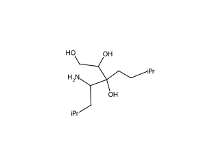 CC(C)CCC(O)(C(N)CC(C)C)C(O)CO